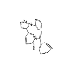 C=C1C=CC(c2ccnn2-c2ccccc2)=CN1/C(=C\C)c1ccccc1